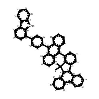 CC1(C)c2c(-c3c4ccccc4c(-c4ccc(-c5cccc6c5oc5ccccc56)cc4)c4ccccc34)cccc2-c2c1c1ccccc1c1ccccc21